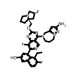 CCc1c(F)ccc2cc(O)cc(-c3ncc4c(N5CCCn6nc(N)cc6C5)nc(OC[C@@]56CCCN5C[C@H](F)C6)nc4c3F)c12